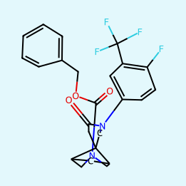 O=C(OCc1ccccc1)N1CC2CC(C1)C21CC(=O)N(c2ccc(F)c(C(F)(F)F)c2)C1